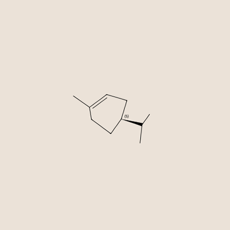 CC1=CC[C@@H](C(C)C)CC1